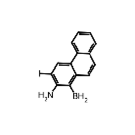 Bc1c(N)c(I)cc2c1ccc1ccccc12